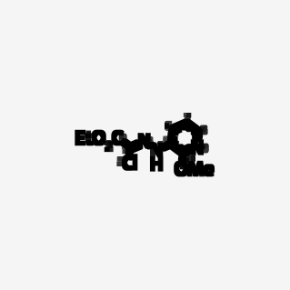 CCOC(=O)/C(Cl)=N/Nc1cccnc1OC